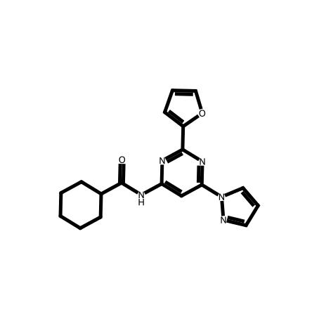 O=C(Nc1cc(-n2cccn2)nc(-c2ccco2)n1)C1CCCCC1